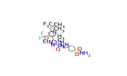 CCn1nc(C(=O)NCC2(N)CCC(S(N)(=O)=O)CC2)c(C)c1-c1cnc(CC(C)(C)C(F)(F)F)cc1OC(F)F